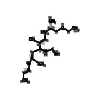 C/C=N/O/C(C)=C/C(NC=N)/C(Cl)=C/N[C@H](C)COCC